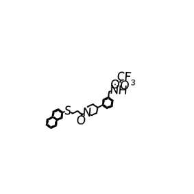 O=C(CCSc1ccc2ccccc2c1)N1CCC(c2cccc(CNOC(=O)C(F)(F)F)c2)CC1